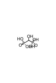 O=P(O)(O)[C](O)P(=O)(O)O